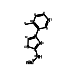 CCCCNc1nc(-c2cnccc2C)cs1